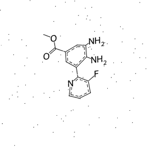 COC(=O)c1cc(N)c(N)c(-c2ncccc2F)c1